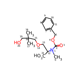 CN(C(=O)OCc1ccccc1)C(COCC(C)(C)CO)C(=O)O